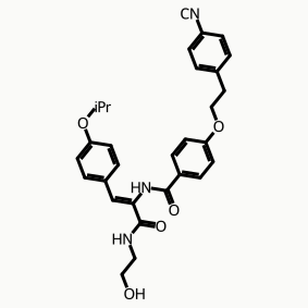 [C-]#[N+]c1ccc(CCOc2ccc(C(=O)N/C(=C\c3ccc(OC(C)C)cc3)C(=O)NCCO)cc2)cc1